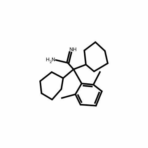 Cc1cccc(C)c1C(C(=N)N)(C1CCCCC1)C1CCCCC1